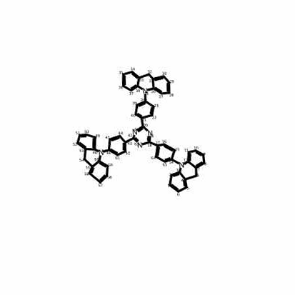 c1ccc2c(c1)Cc1ccccc1N2c1ccc(-c2nc(-c3ccc(N4c5ccccc5Cc5ccccc54)cc3)nc(-c3ccc(N4c5ccccc5Cc5ccccc54)cc3)n2)cc1